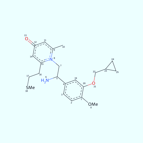 COc1ccc(C(N)Cn2c(C)cc(=O)cc2CCSC)cc1OCC1CC1